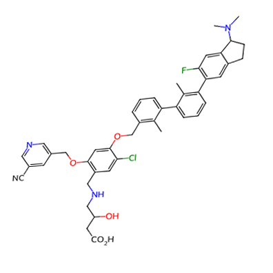 Cc1c(COc2cc(OCc3cncc(C#N)c3)c(CNCC(O)CC(=O)O)cc2Cl)cccc1-c1cccc(-c2cc3c(cc2F)C(N(C)C)CC3)c1C